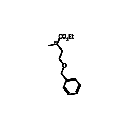 CCOC(=O)[C@H](C)CCOCc1ccccc1